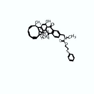 C[C@@H]1C#C/C=C\C#C[C@@H]2Nc3c(cc(O)c4c3C(=O)c3ccc(CN(C)C(=O)OCCSc5ccccc5)cc3C4=O)[C@]13O[C@@]23[C@@H](C)O